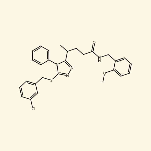 COc1ccccc1CNC(=O)CCC(C)c1nnc(SCc2cccc(Cl)c2)n1-c1ccccc1